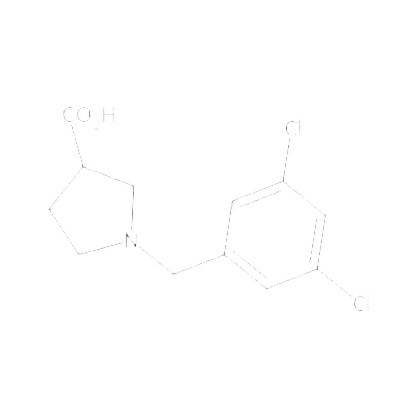 O=C(O)C1CCN(Cc2cc(Cl)cc(Cl)c2)C1